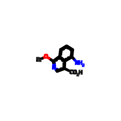 CCOc1ncc(C(=O)O)c2c(N)cccc12